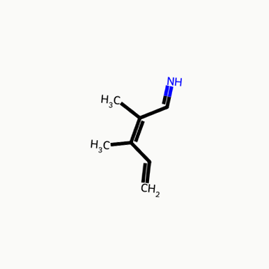 C=C/C(C)=C(/C)C=N